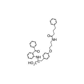 O=C(CCCc1ccccc1)NCCCOc1ccc(C[C@H](Nc2ccccc2C(=O)c2ccccc2)C(=O)O)cc1